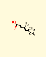 C=C(C)/C=C(C)/C=C/C(=O)O